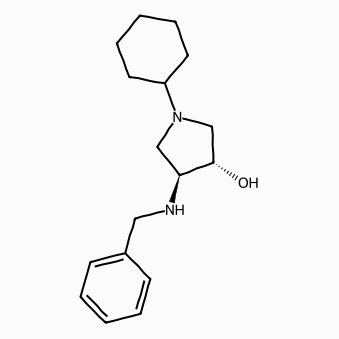 O[C@H]1CN(C2CCCCC2)C[C@@H]1NCc1ccccc1